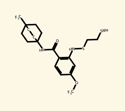 CSCCSNc1cc(OC(F)(F)F)ccc1C(=O)NC12CCC(C(F)(F)F)(CC1)CC2